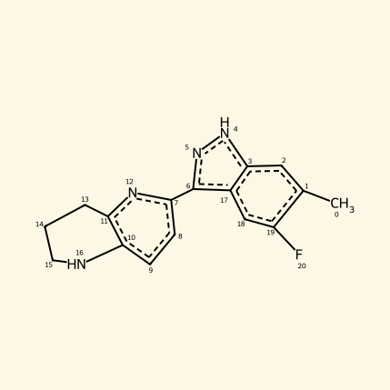 Cc1cc2[nH]nc(-c3ccc4c(n3)CCCN4)c2cc1F